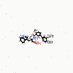 COc1ccc(-c2ccc(OC(C)C)c(C(=O)NC(C)(CO)Cc3c[nH]c4ccccc34)c2)cc1OC